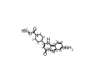 CC(C)(C)OC(=O)N1CCC(c2cc(=O)n3nc4cc(N)ccc4c3[nH]2)CC1